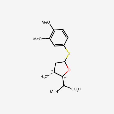 CNC(C(=O)O)[C@@H]1OC(Sc2ccc(OC)c(OC)c2)C[C@H]1C